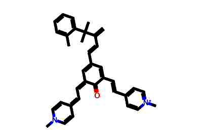 C=C(/C=C/C1=CC(=C/C=C2C=CN(C)C=C2)/C(=O)C(/C=C/c2cc[n+](C)cc2)=C1)C(C)(C)c1ccccc1C